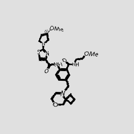 COCCNC(=O)c1cc(CN2CCOCC23CCC3)ccc1NC(=O)c1csc(N2CC[C@H](OC)C2)n1